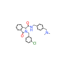 CN(C)Cc1ccc(CNC(=O)C2c3ccccc3C(=O)N2Cc2cccc(Cl)c2)cc1